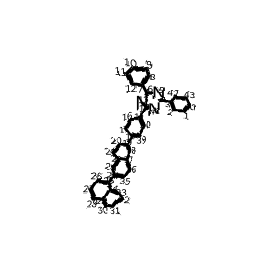 c1ccc(-c2nc(-c3ccccc3)nc(-c3ccc(-c4ccc5cc(-c6cccc7ccccc67)ccc5c4)cc3)n2)cc1